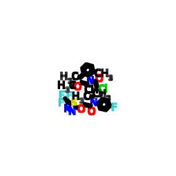 CC(C)N(C(=O)COc1nnc(C(F)(F)F)s1)c1ccc(F)cc1.CCc1cccc(C)c1N(C(=O)CCl)[C@@H](C)COC